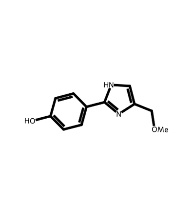 COCc1c[nH]c(-c2ccc(O)cc2)n1